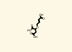 O=C(O)C=CCOC(CC(=O)O)C(=O)O